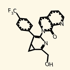 O=c1c2ncccc2ccn1C1=C(c2ccc(C(F)(F)F)cc2)C2CC2C(CO)=N1